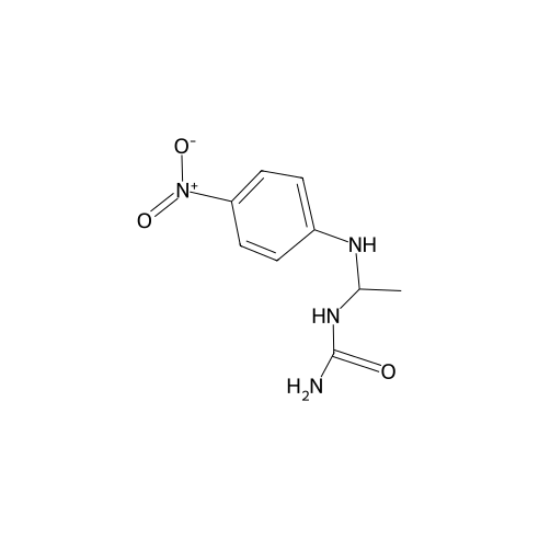 CC(NC(N)=O)Nc1ccc([N+](=O)[O-])cc1